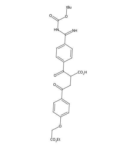 CCOC(=O)COc1ccc(C(=O)CC(C(=O)O)C(=O)c2ccc(C(=N)NC(=O)OC(C)(C)C)cc2)cc1